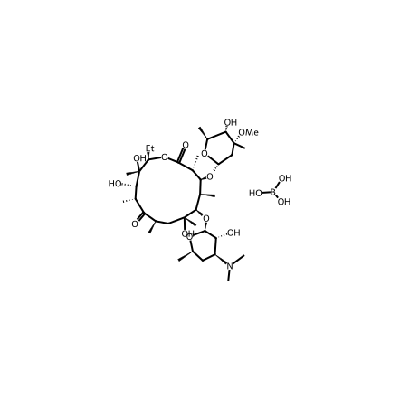 CC[C@H]1OC(=O)[C@H](C)[C@@H](O[C@H]2C[C@@](C)(OC)[C@@H](O)[C@H](C)O2)[C@@H](C)[C@@H](O[C@@H]2O[C@H](C)C[C@H](N(C)C)[C@H]2O)[C@](C)(O)C[C@@H](C)C(=O)[C@H](C)[C@H](O)[C@]1(C)O.OB(O)O